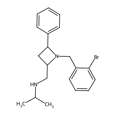 CC(C)NCC1CC(c2ccccc2)N1Cc1ccccc1Br